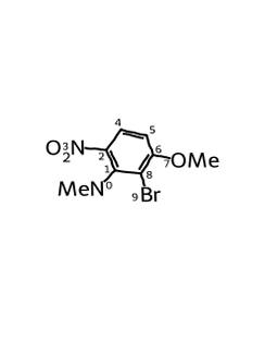 CNc1c([N+](=O)[O-])ccc(OC)c1Br